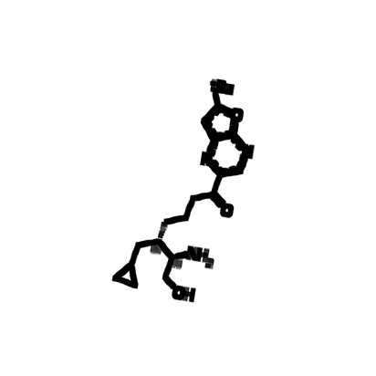 CC(C)(C)c1cc2nc(C(=O)CCC[C@@H](CC3CC3)[C@@H](N)CO)cnc2o1